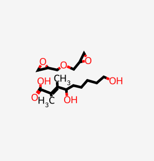 C(OCC1CO1)C1CO1.CC(C(=O)O)=C(C)C(O)CCCCCO